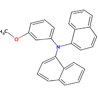 COc1cccc(N(c2cccc3ccccc23)c2cccc3ccccc23)c1